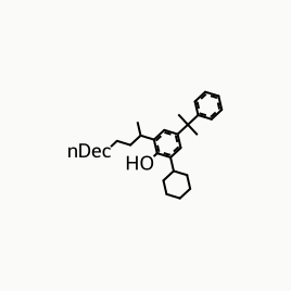 CCCCCCCCCCCCC(C)c1cc(C(C)(C)c2ccccc2)cc(C2CCCCC2)c1O